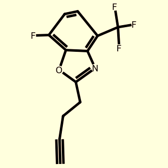 C#CCCc1nc2c(C(F)(F)F)ccc(F)c2o1